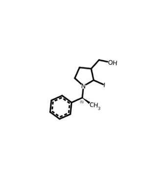 C[C@@H](c1ccccc1)N1CCC(CO)C1I